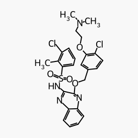 Cc1c(Cl)cccc1S(=O)(=O)Nc1nc2ccccc2nc1OCc1ccc(Cl)c(OCCN(C)C)c1